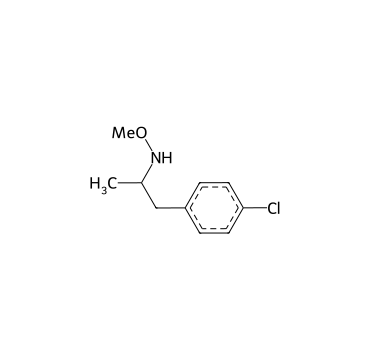 CONC(C)Cc1ccc(Cl)cc1